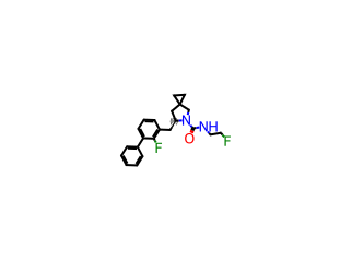 O=C(NCCF)N1CC2(CC2)C[C@@H]1Cc1cccc(-c2ccccc2)c1F